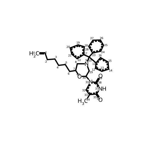 C=CCCC[CH]CC1CN(C(c2ccccc2)(c2ccccc2)c2ccccc2)CC(n2cc(C)c(=O)[nH]c2=O)O1